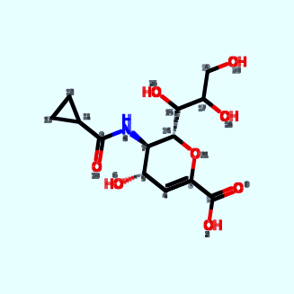 O=C(O)C1=C[C@H](O)[C@@H](NC(=O)C2CC2)[C@H](C(O)C(O)CO)O1